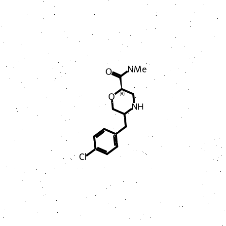 CNC(=O)[C@H]1CNC(Cc2ccc(Cl)cc2)CO1